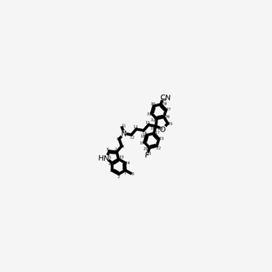 Cc1ccc2[nH]cc(CCN(C)CCCCC3(c4ccc(F)cc4)OCc4cc(C#N)ccc43)c2c1